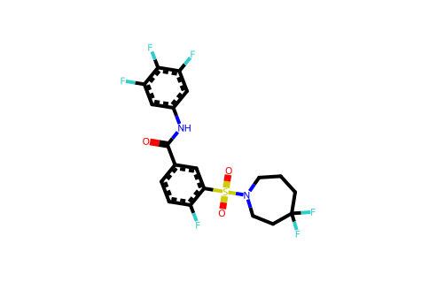 O=C(Nc1cc(F)c(F)c(F)c1)c1ccc(F)c(S(=O)(=O)N2CCCC(F)(F)CC2)c1